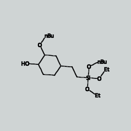 CCCCOC1CC(CC[Si](OCC)(OCC)OCCCC)CCC1O